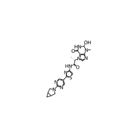 C[C@@H](C(=O)Nc1csc(-c2cnc(N3CC4CC4C3)nc2)n1)n1cnc2c1C(=O)NC(O)N2C